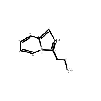 NCCc1ncc2ccccn12